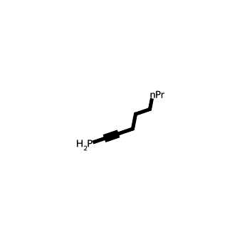 CCCCCCC#CP